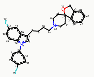 Fc1ccc(-n2cc(CCCCN3CCC4(CC3)OCc3ccccc34)c3cc(F)ccc32)cc1